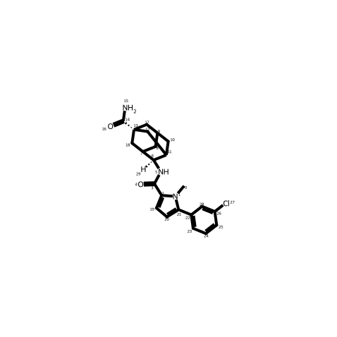 Cn1c(C(=O)N[C@H]2C3CC4CC2C[C@](C(N)=O)(C4)C3)ccc1-c1cccc(Cl)c1